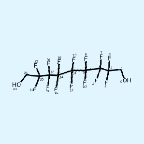 OCC(F)(F)C(F)(F)C(F)(F)C(F)(F)C(F)(F)C(F)(F)C(F)(F)CO